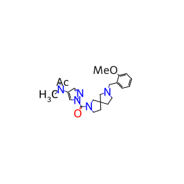 COc1ccccc1CN1CCC2(CCN(C(=O)n3cc(N(C)C(C)=O)cn3)C2)C1